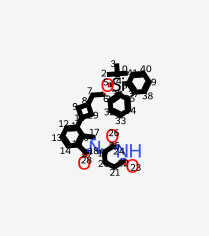 CC(C)(C)[Si](OCCC1CC(c2cccc3c2CN(C2CCC(=O)NC2=O)C3=O)C1)(c1ccccc1)c1ccccc1